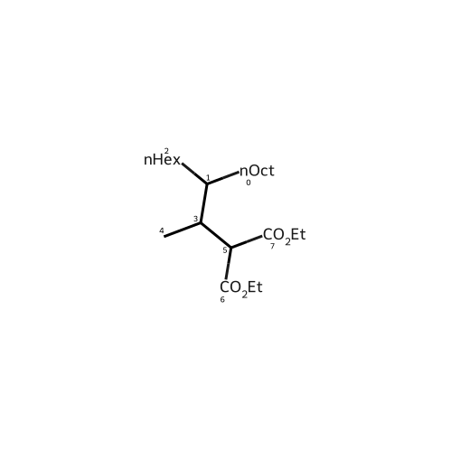 CCCCCCCCC(CCCCCC)C(C)C(C(=O)OCC)C(=O)OCC